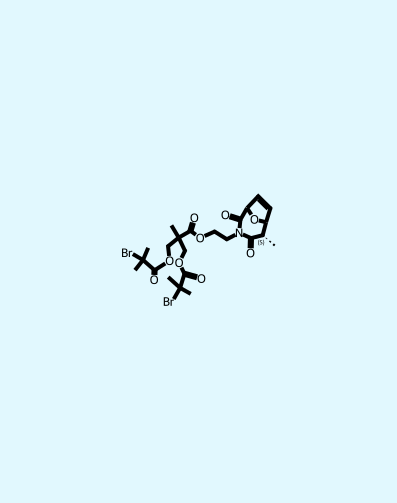 C[C@@H]1C(=O)N(CCOC(=O)C(C)(COC(=O)C(C)(C)Br)COC(=O)C(C)(C)Br)C(=O)C2C=CC1O2